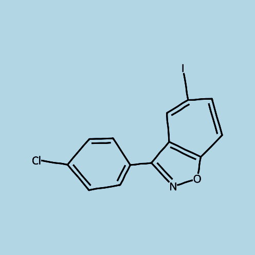 Clc1ccc(-c2noc3ccc(I)cc23)cc1